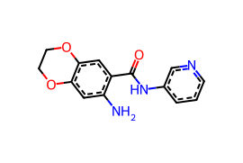 Nc1cc2c(cc1C(=O)Nc1cccnc1)OCCO2